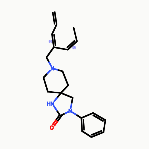 C=C/C=C(\C=C/C)CN1CCC2(CC1)CN(c1ccccc1)C(=O)N2